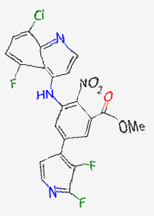 COC(=O)c1cc(-c2ccnc(F)c2F)cc(Nc2ccnc3c(Cl)ccc(F)c23)c1[N+](=O)[O-]